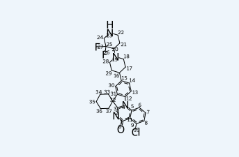 O=c1nc2n(c3cccc(Cl)c13)-c1ccc(C3CCN(C4CCNCC4(F)F)CC3)cc1C21CCCCC1